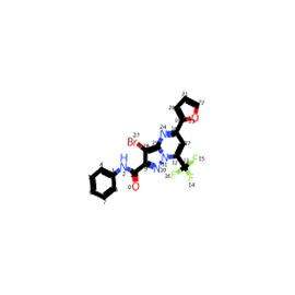 O=C(Nc1ccccc1)c1nn2c(C(F)(F)F)cc(-c3ccco3)nc2c1Br